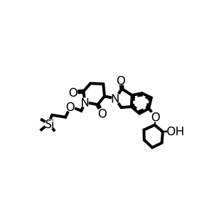 C[Si](C)(C)CCOCN1C(=O)CCC(N2Cc3cc(O[C@H]4CCCC[C@@H]4O)ccc3C2=O)C1=O